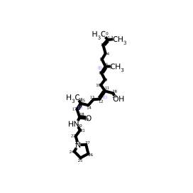 CC(C)=CCC/C(C)=C/CC/C(=C\CC/C(C)=C\C(=O)NCCN1CCCC1)CO